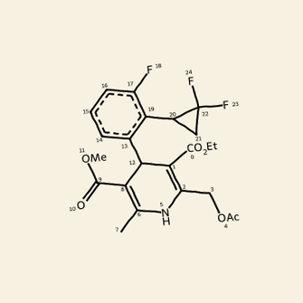 CCOC(=O)C1=C(COC(C)=O)NC(C)=C(C(=O)OC)C1c1cccc(F)c1C1CC1(F)F